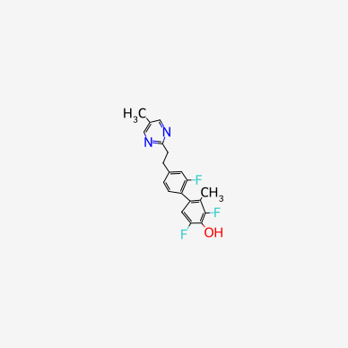 Cc1cnc(CCc2ccc(-c3cc(F)c(O)c(F)c3C)c(F)c2)nc1